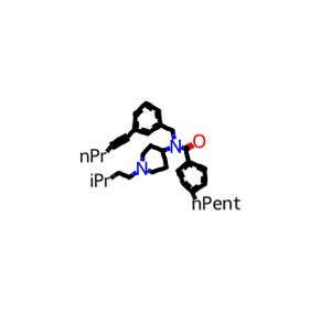 CCCC#Cc1cccc(CN(C(=O)c2ccc(CCCCC)cc2)C2CCN(CCC(C)C)CC2)c1